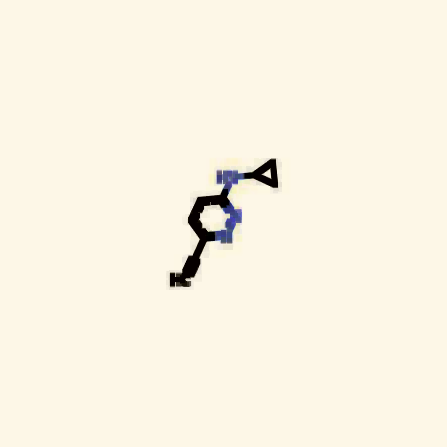 C#Cc1ccc(NC2CC2)nn1